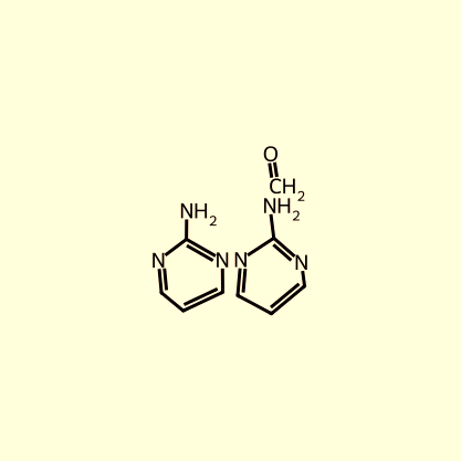 C=O.Nc1ncccn1.Nc1ncccn1